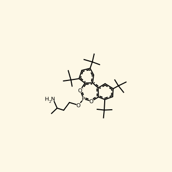 CC(N)CCOp1oc2c(C(C)(C)C)cc(C(C)(C)C)cc2c2cc(C(C)(C)C)cc(C(C)(C)C)c2o1